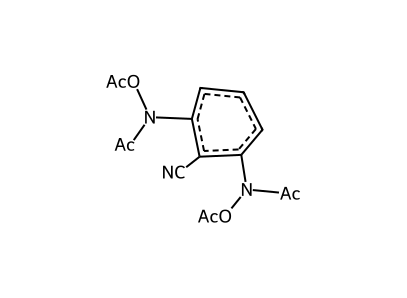 CC(=O)ON(C(C)=O)c1cccc(N(OC(C)=O)C(C)=O)c1C#N